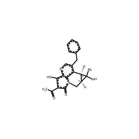 CC(=O)c1c(O)c2ncc(Cc3ccccc3)c3c2n(c1=O)C[C@H]1[C@@H]3[C]1([Rb])[RaH]